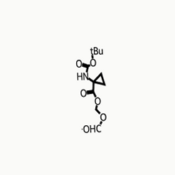 CC(C)(C)OC(=O)NC1(C(=O)OCO[C]=O)CC1